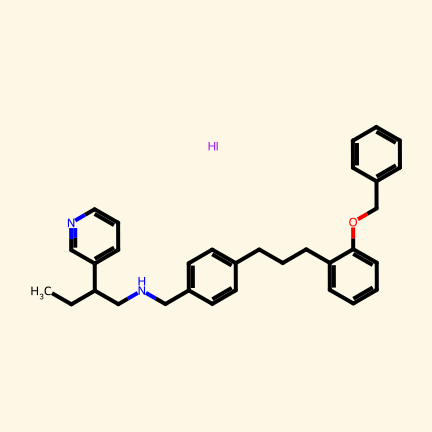 CCC(CNCc1ccc(CCCc2ccccc2OCc2ccccc2)cc1)c1cccnc1.I